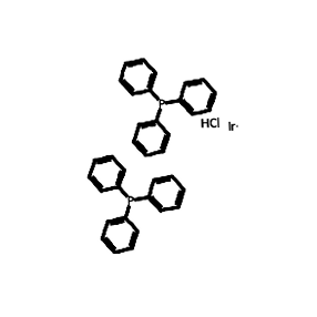 Cl.[Ir].c1ccc(P(c2ccccc2)c2ccccc2)cc1.c1ccc(P(c2ccccc2)c2ccccc2)cc1